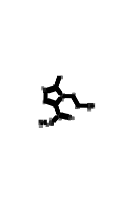 Cc1ncc([N+](=O)[O-])n1CCO.N